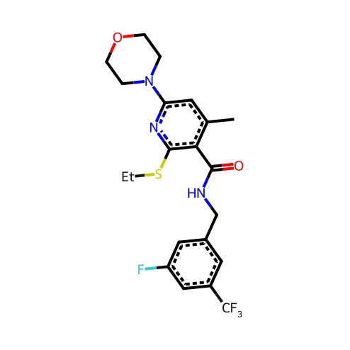 CCSc1nc(N2CCOCC2)cc(C)c1C(=O)NCc1cc(F)cc(C(F)(F)F)c1